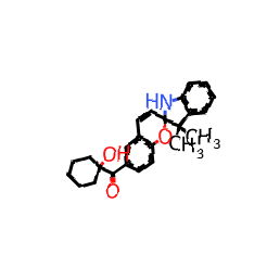 CC1(C)c2ccccc2NC12C=Cc1cc(C(=O)C3(O)CCCCC3)ccc1O2